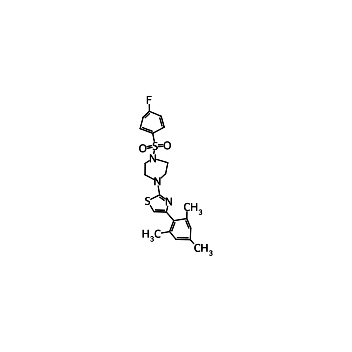 Cc1cc(C)c(-c2csc(N3CCN(S(=O)(=O)c4ccc(F)cc4)CC3)n2)c(C)c1